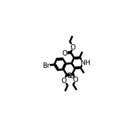 CCOC(=O)C1=C(C)NC(C)=C(C(=O)OCC)C1c1ccc(Br)cc1C(=O)OCC